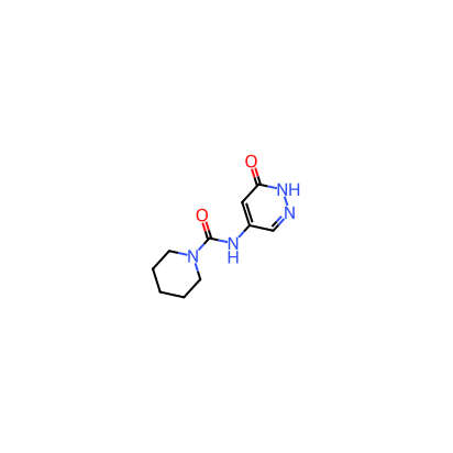 O=C(Nc1cn[nH]c(=O)c1)N1CCCCC1